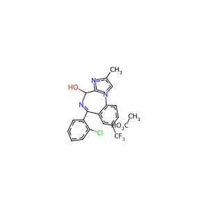 CC(=O)O.Cc1cn2c(n1)C(O)N=C(c1ccccc1Cl)c1cc(C(F)(F)F)ccc1-2